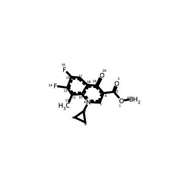 BOC(=O)c1cn(C2CC2)c2c(C)c(F)c(F)cc2c1=O